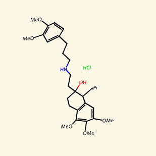 COc1ccc(CCCNCCC2(O)CCc3c(cc(OC)c(OC)c3OC)C2C(C)C)cc1OC.Cl